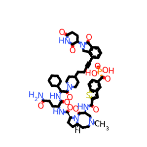 CN1CC[C@H]2CC[C@@H](C(=O)NC(CCC(N)=O)C(=O)NC(C(=O)N3CCC(CCC#Cc4cccc5c4CN(C4CCC(=O)NC4=O)C5=O)CC3)C3CCCCC3)N2C(=O)[C@@H](NC(=O)c2cc3cc(C(=O)P(=O)(O)O)ccc3s2)C1